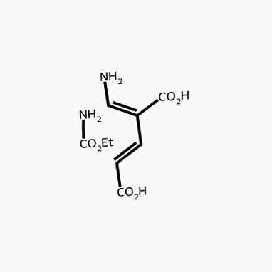 CCOC(N)=O.NC=C(C=CC(=O)O)C(=O)O